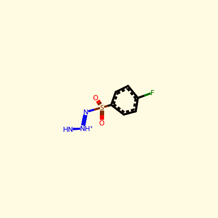 [NH-][NH+]=NS(=O)(=O)c1ccc(F)cc1